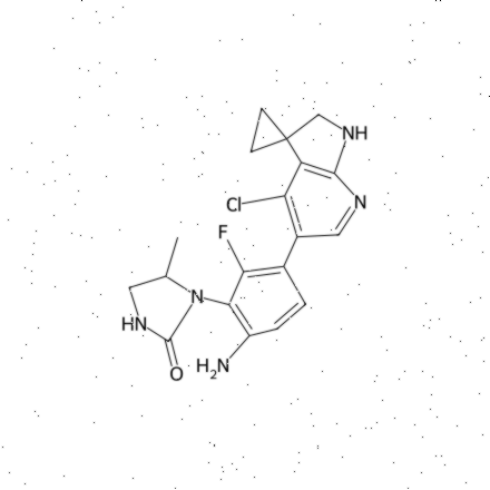 CC1CNC(=O)N1c1c(N)ccc(-c2cnc3c(c2Cl)C2(CC2)CN3)c1F